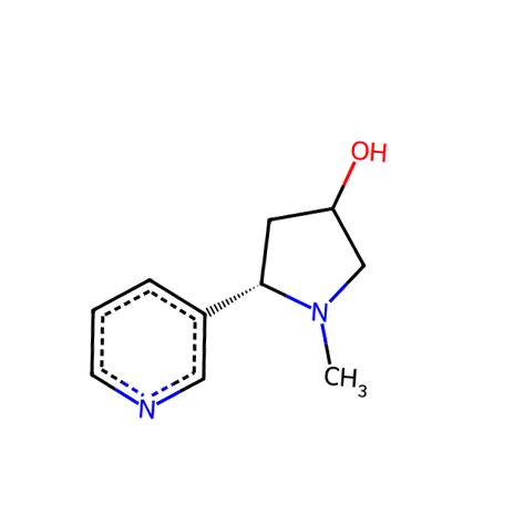 CN1CC(O)C[C@H]1c1cccnc1